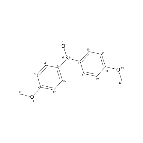 COc1ccc([S+]([O-])c2ccc(OC)cc2)cc1